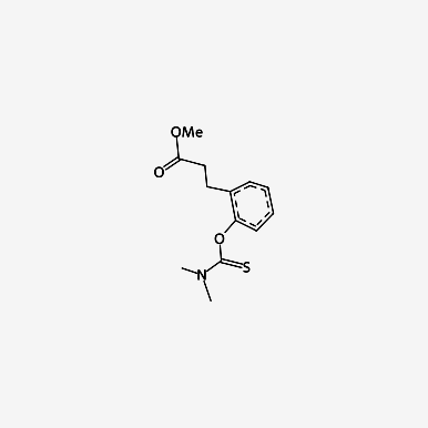 COC(=O)CCc1ccccc1OC(=S)N(C)C